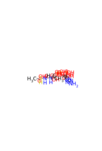 CCCC(=O)[SH](O)CCNC(=O)CCNC(=O)C(O)C(C)(C)COP(=O)(O)OP(=O)(O)OC[C@H]1O[C@@H](n2cnc3c(N)ncnc32)[C@H](O)[C@@H]1OP(=O)(O)O